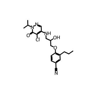 CCCc1cc(C#N)ccc1OCC(O)CNc1cnn(C(C)C)c(=O)c1Cl